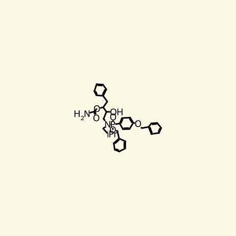 CC(C)CN(CC(O)C(Cc1ccccc1)OC(N)=O)P(=O)(OCc1ccccc1)c1ccc(OCc2ccccc2)cc1